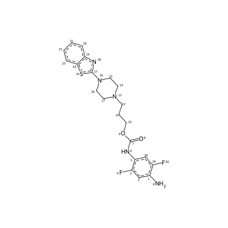 Nc1cc(F)c(NC(=O)OCCCN2CCN(c3nc4ccccc4s3)CC2)cc1F